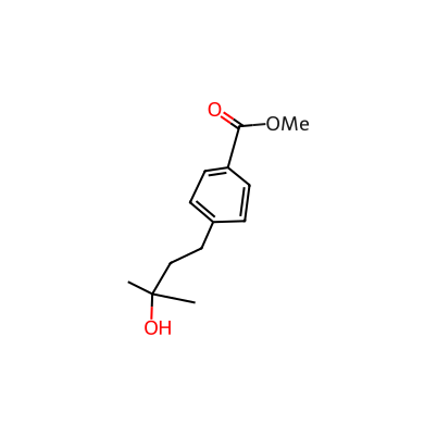 COC(=O)c1ccc(CCC(C)(C)O)cc1